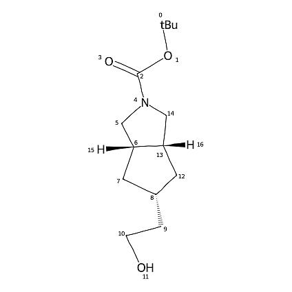 CC(C)(C)OC(=O)N1C[C@H]2C[C@@H](CCO)C[C@H]2C1